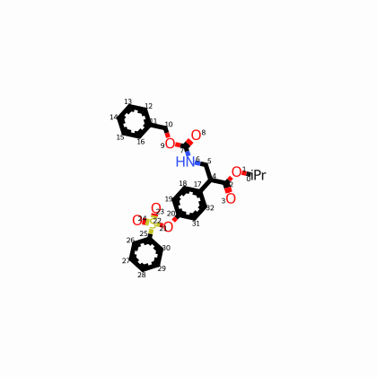 CC(C)OC(=O)C(CNC(=O)OCc1ccccc1)c1ccc(OS(=O)(=O)c2ccccc2)cc1